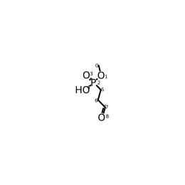 COP(=O)(O)CC[C]=O